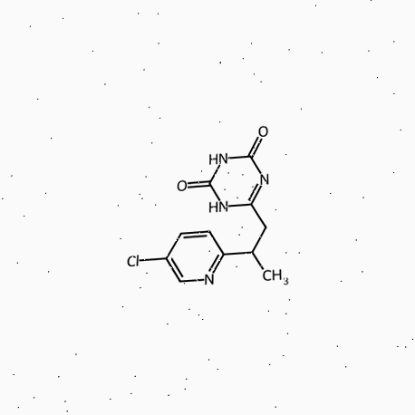 CC(Cc1nc(=O)[nH]c(=O)[nH]1)c1ccc(Cl)cn1